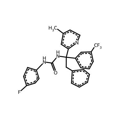 Cc1ccnc(C(Cc2ccccc2)(NC(=O)Nc2ccc(F)cc2)c2cccc(C(F)(F)F)c2)c1